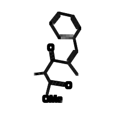 COC(=O)C(C)C(=O)C(C)=Cc1ccccc1